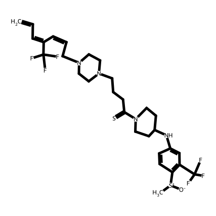 C=C/C=C(\C=C/CN1CCN(CCCC(=S)N2CCC(Nc3ccc([S+](C)[O-])c(C(F)(F)F)c3)CC2)CC1)C(F)(F)F